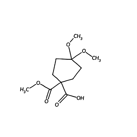 COC(=O)C1(C(=O)O)CCC(OC)(OC)CC1